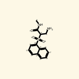 CNC(=O)C(CN)S(=O)(=O)c1cccc2ccccc12